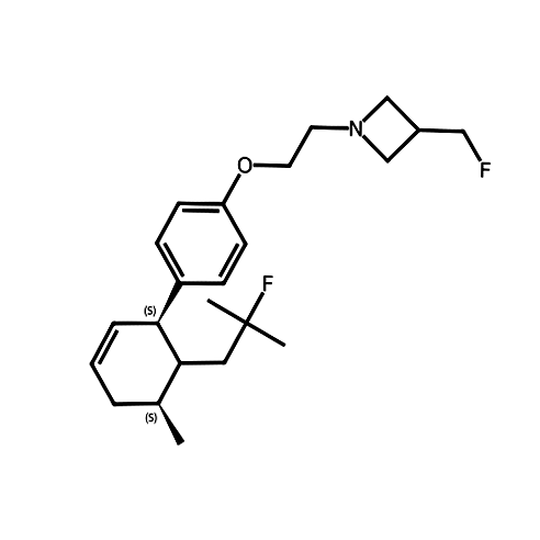 C[C@H]1CC=C[C@@H](c2ccc(OCCN3CC(CF)C3)cc2)C1CC(C)(C)F